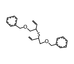 C=CC(COCc1ccccc1)SC(C=C)COCc1ccccc1